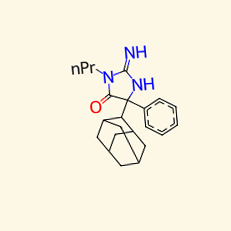 CCCN1C(=N)NC(c2ccccc2)(C2C3CC4CC(C3)CC2C4)C1=O